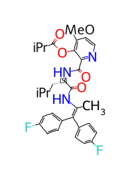 COc1ccnc(C(=O)N[C@@H](CC(C)C)C(=O)NC(C)=C(c2ccc(F)cc2)c2ccc(F)cc2)c1OC(=O)C(C)C